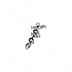 CC(C)OC(=O)Nc1cnc2[nH]c(-c3ccc(N4CCOCC4)nc3)nc2c1